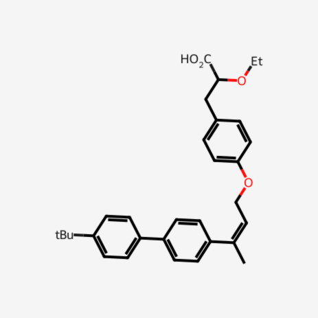 CCOC(Cc1ccc(OCC=C(C)c2ccc(-c3ccc(C(C)(C)C)cc3)cc2)cc1)C(=O)O